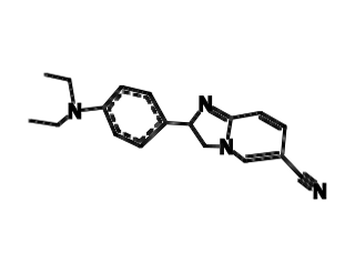 CCN(CC)c1ccc(C2CN3C=C(C#N)C=CC3=N2)cc1